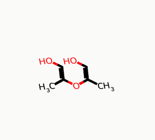 CC(=CO)OC(C)=CO